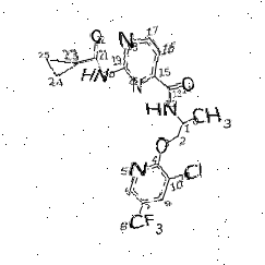 CC(COc1ncc(C(F)(F)F)cc1Cl)NC(=O)c1ccnc(NC(=O)C2CC2)n1